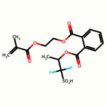 C=C(C)C(=O)OCCOC(=O)c1ccccc1C(=O)OC(C)C(F)(F)S(=O)(=O)O